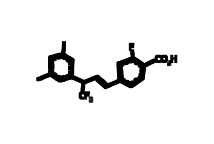 Cc1cc(C)cc(C(/C=C/c2ccc(C(=O)O)c(F)c2)C(F)(F)F)c1